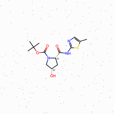 Cc1cnc(NC(=O)[C@@H]2C[C@H](O)CN2C(=O)OC(C)(C)C)s1